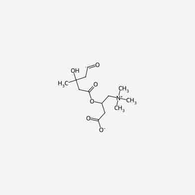 CC(O)(C[C]=O)CC(=O)OC(CC(=O)[O-])C[N+](C)(C)C